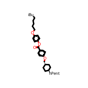 CCCCC[C@H]1CC[C@H](COc2ccc(C(=O)Oc3ccc(OCCCCCC(C)CC)cc3)cc2)CC1